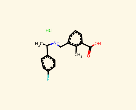 Cc1c(CN[C@H](C)c2ccc(F)cc2)cccc1C(=O)O.Cl